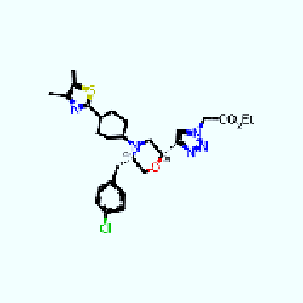 CCOC(=O)Cn1cc([C@H]2CN(C3CCC(c4nc(C)c(C)s4)CC3)[C@@H](Cc3ccc(Cl)cc3)CO2)nn1